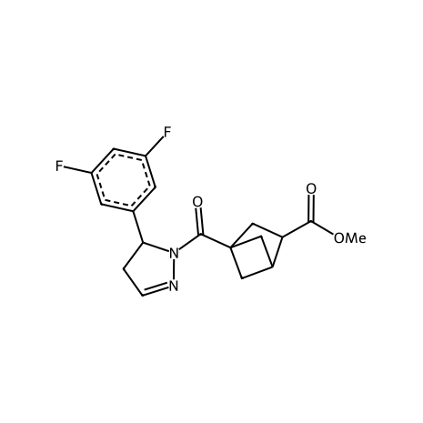 COC(=O)C1CC2(C(=O)N3N=CCC3c3cc(F)cc(F)c3)CC1C2